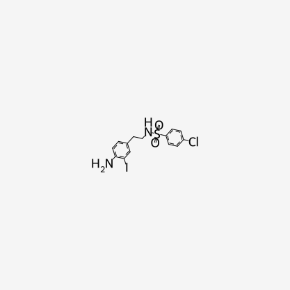 Nc1ccc(CCNS(=O)(=O)c2ccc(Cl)cc2)cc1I